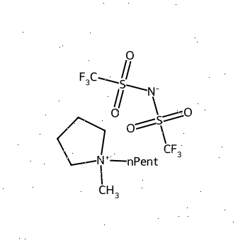 CCCCC[N+]1(C)CCCC1.O=S(=O)([N-]S(=O)(=O)C(F)(F)F)C(F)(F)F